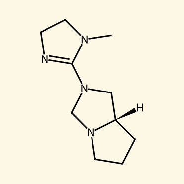 CN1CCN=C1N1C[C@@H]2CCCN2C1